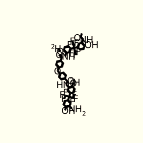 [2H]Oc1ccc(C(c2ccc(O)c(N)c2)(C(F)(F)F)C(F)(F)F)cc1NC(=O)c1ccc(Oc2ccc(C(=O)Nc3cc(C(c4ccc(O)c(NC(C)=O)c4)(C(F)(F)F)C(F)(F)F)ccc3O[2H])cc2)cc1